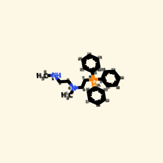 CNCCN(C)CC[PH](c1ccccc1)(c1ccccc1)c1ccccc1